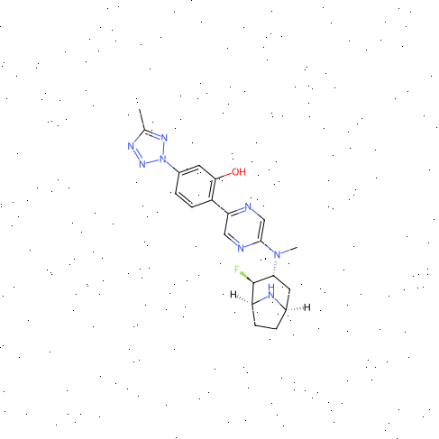 Cc1nnn(-c2ccc(-c3cnc(N(C)[C@@H]4C[C@H]5CC[C@H](N5)[C@H]4F)cn3)c(O)c2)n1